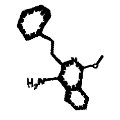 COc1nc(CCc2ccccc2)c(N)c2ccccc12